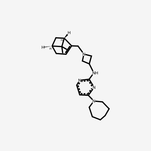 CC1(C)[C@H]2CC=C(CN3CC(Nc4nccc(N5CCCCCC5)n4)C3)[C@H]1C2